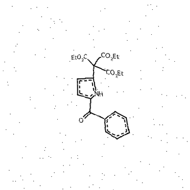 CCOC(=O)C(C(=O)OCC)(C(=O)OCC)c1ccc(C(=O)c2ccccc2)[nH]1